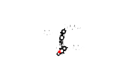 COc1ccc(N2CCN(C(=O)COc3cc(OC)cc4c3C(=O)C3=C(C4=O)C4C=CC3C4)CC2)c(OC)c1